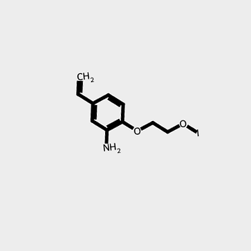 C=Cc1ccc(OCCOI)c(N)c1